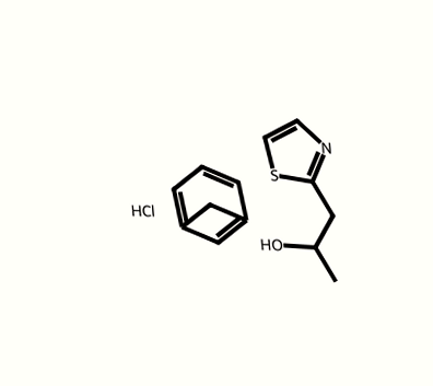 CC(O)Cc1nccs1.Cl.c1cc2cc(c1)C2